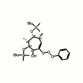 C[C@H]1[C@H](O[Si](C)(C)C(C)(C)C)[C@H](O)C(SOOc2ccccc2)=C[C@H](C)[C@H]1O[Si](C)(C)C(C)(C)C